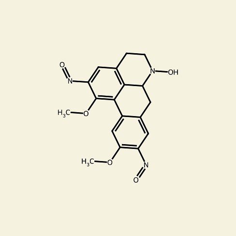 COc1cc2c(cc1N=O)CC1c3c(cc(N=O)c(OC)c3-2)CCN1O